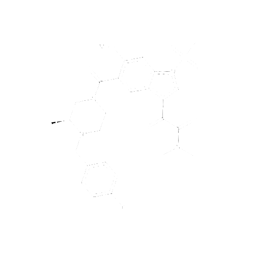 COc1cc2c(cc1C(=O)N1C[C@H](C)N(Cc3ccc(F)cc3)C[C@H]1C)c(C(=O)C(=O)N(C)C)cn2S(C)(=O)=O